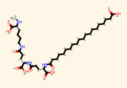 CN[C@@H](CCCCNC(=O)CC[C@H](NC(=O)CC[C@H](NC(=O)CCCCCCCCCCCCCCCCCCC(=O)O)C(=O)O)C(=O)O)C(=O)O